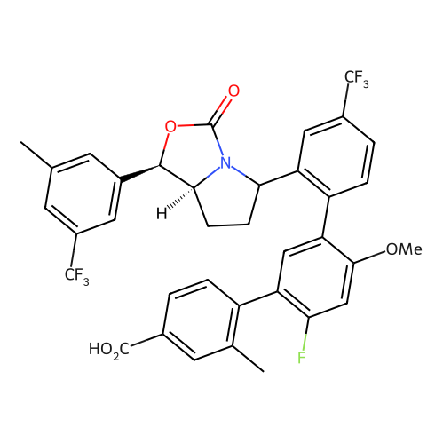 COc1cc(F)c(-c2ccc(C(=O)O)cc2C)cc1-c1ccc(C(F)(F)F)cc1C1CC[C@H]2[C@@H](c3cc(C)cc(C(F)(F)F)c3)OC(=O)N12